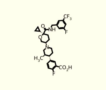 C[C@H]1CN([C@@H]2CC[C@@](C(=O)NCc3cc(F)cc(C(F)(F)F)c3)(C3CC3)OC2)CC[C@@H]1c1ccc(F)c(C(=O)O)c1